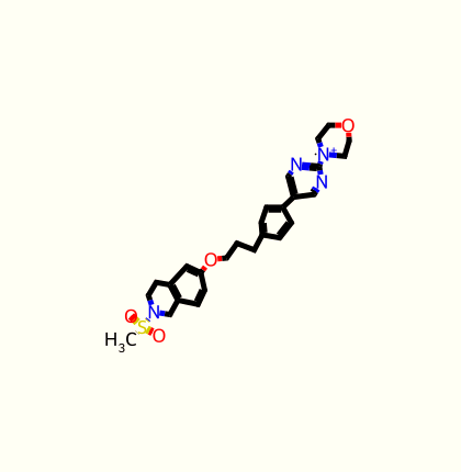 CS(=O)(=O)N1CCc2cc(OCCCc3ccc(-c4cnc([N+]5CCOCC5)nc4)cc3)ccc2C1